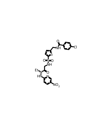 CCN(Nc1ccc([N+](=O)[O-])cn1)C(=O)CNS(=O)(=O)c1ccc(CNC(=O)c2ccc(Cl)cc2)s1